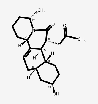 CC(=O)C[C@H]1C(=O)N2[C@@H](C)CCC[C@H]2C2=CC[C@@H]3C[C@H](O)CC[C@H]3[C@@H]21